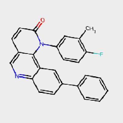 Cc1cc(-n2c(=O)ccc3cnc4ccc(-c5ccccc5)cc4c32)ccc1F